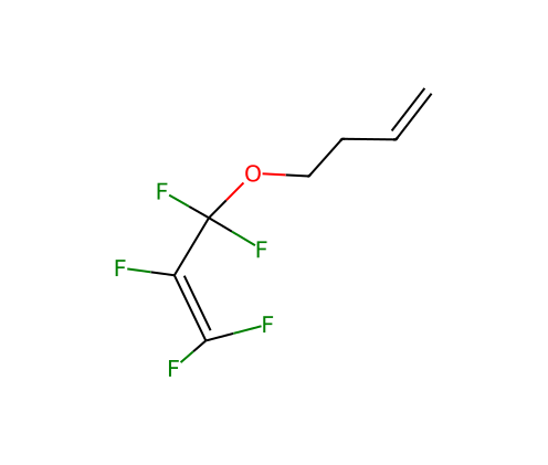 C=CCCOC(F)(F)C(F)=C(F)F